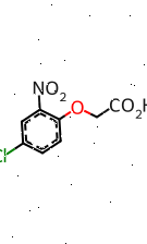 O=C(O)COc1ccc(Cl)cc1[N+](=O)[O-]